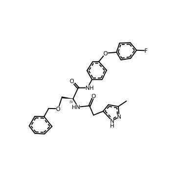 Cc1cc(CC(=O)N[C@@H](COCc2ccccc2)C(=O)Nc2ccc(Oc3ccc(F)cc3)cc2)[nH]n1